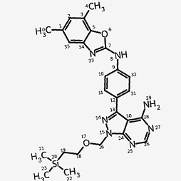 Cc1cc(C)c2oc(Nc3ccc(-c4nn(COCC[Si](C)(C)C)c5ncnc(N)c45)cc3)nc2c1